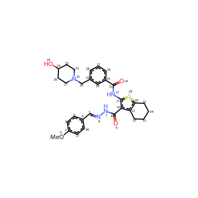 COc1ccc(/C=N/NC(=O)c2c(NC(=O)c3cccc(CN4CCC(O)CC4)c3)sc3c2CCCC3)cc1